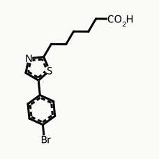 O=C(O)CCCCCc1ncc(-c2ccc(Br)cc2)s1